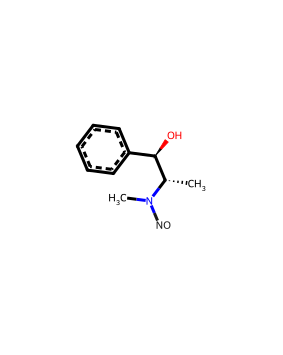 C[C@@H]([C@H](O)c1ccccc1)N(C)N=O